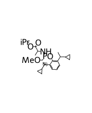 COCP(NC(C)C(=O)OC(C)C)Oc1c(C(C)C2CC2)cccc1[C@H](C)C1CC1